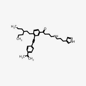 C=C(C)c1ccc(C#Cc2cc(C(=O)CCCNCCCc3cn[nH]c3)ccc2CCC(CCC)CCC)cc1